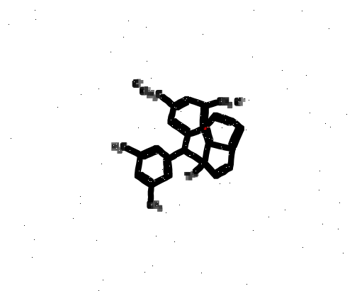 Cc1cc(C)cc(C(c2cc(C)cc(C)c2)[C]2([Ti+3])C=Cc3ccccc32)c1.[Cl-].[Cl-].[Cl-]